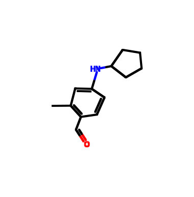 Cc1cc(NC2CCCC2)ccc1C=O